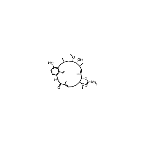 CO[C@H]1C[C@H](C)Cc2c(O)ccc(c2F)NC(=O)/C(C)=C/CC[C@H](OC)[C@@H](OC(N)=O)/C(C)=C/[C@H](C)[C@H]1O